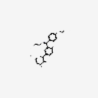 CCC/N=C(/c1ccc(OCC)cc1)c1cc(C2O[C@H](OC)[C@@H](O)[C@H](O)C2O)ccc1Cl